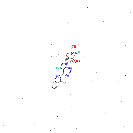 O=C(Nc1ncnc2c1c(F)cn2[C@@H]1O[C@H](CO)[C@@H](F)[C@H]1O)c1ccccc1